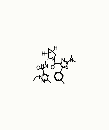 CCn1nc(C)cc1C(=O)NC[C@@H]1[C@H]2C[C@H]2CN1C(=O)c1nc(N(C)C)sc1-c1cccc(C)c1